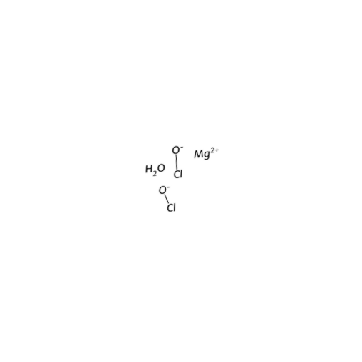 O.[Mg+2].[O-]Cl.[O-]Cl